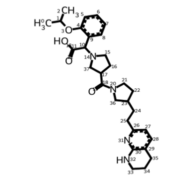 CC(C)Oc1ccccc1C(C(=O)O)N1CCC(C(=O)N2CCC(CCc3ccc4c(n3)NCCC4)C2)C1